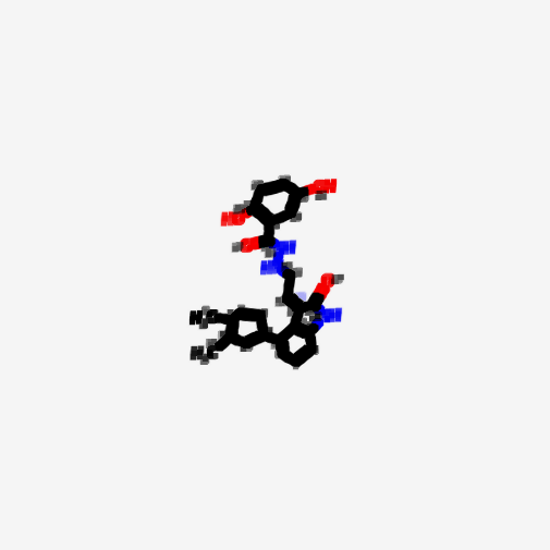 Cc1ccc(-c2cccc3c2/C(=C/CNNC(=O)c2cc(O)ccc2O)C(=O)N3)cc1C